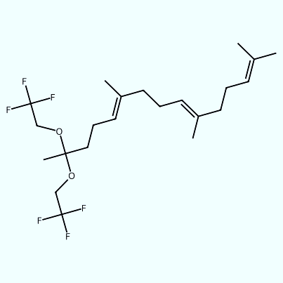 CC(C)=CCCC(C)=CCCC(C)=CCCC(C)(OCC(F)(F)F)OCC(F)(F)F